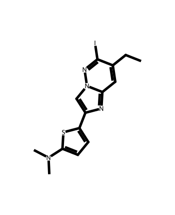 CCc1cc2nc(-c3ccc(N(C)C)s3)cn2nc1I